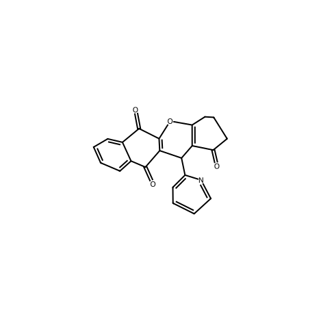 O=C1CCCC2=C1C(c1ccccn1)C1=C(O2)C(=O)c2ccccc2C1=O